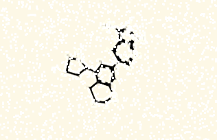 Cc1n[nH]c2ncc(-c3cc4c(c(C5CCCN5)c3)CCCO4)cc12